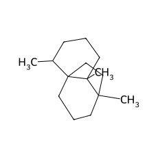 CC1CCCC2(C)C3(C)CCCC12CC3